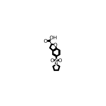 O=C(O)[C@@H]1Cc2cc(S(=O)(=O)N3CCCC3)ccc2O1